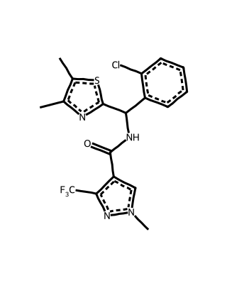 Cc1nc(C(NC(=O)c2cn(C)nc2C(F)(F)F)c2ccccc2Cl)sc1C